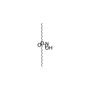 CC(CO)N(C)C.CCCCCCCCCCCCCC(=O)OCCCCCCCCCCCC